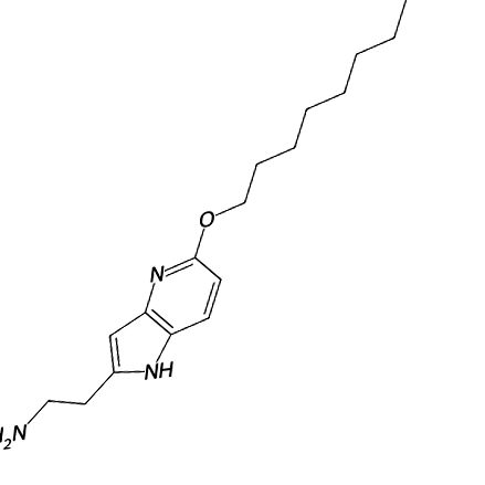 CCCCCCCCCOc1ccc2[nH]c(CCN)cc2n1